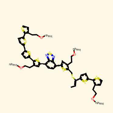 C/C=C(\SCc1sc(-c2ccc(-c3cc(CCOCCCCC)c(-c4ccc(-c5ccc(-c6sccc6CCOCCCCC)s5)s4)s3)c3nsnc23)cc1CCOCCCCC)c1ccc(-c2sccc2CCOCCCCC)s1